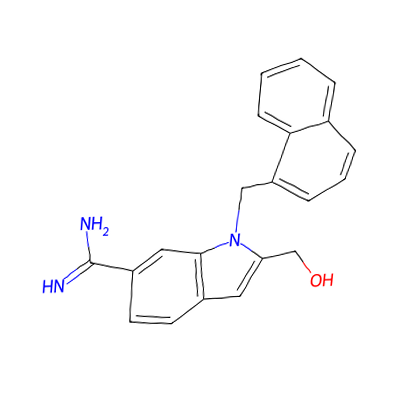 N=C(N)c1ccc2cc(CO)n(Cc3cccc4ccccc34)c2c1